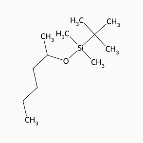 CCCCC(C)O[Si](C)(C)C(C)(C)C